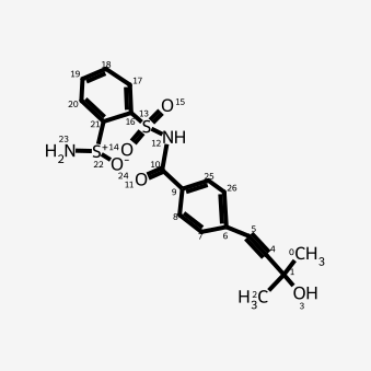 CC(C)(O)C#Cc1ccc(C(=O)NS(=O)(=O)c2ccccc2[S+](N)[O-])cc1